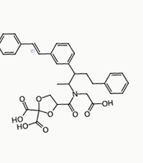 CC(C(CCc1ccccc1)c1cccc(/C=C/c2ccccc2)c1)N(CC(=O)O)C(=O)C1COC(C(=O)O)(C(=O)O)O1